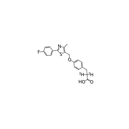 [2H]C([2H])(Cc1ccc(OCc2sc(-c3ccc(F)cc3)nc2C)cc1)C(=O)O